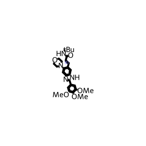 COc1cc(-c2nc3cc(N4CCOCC4)c(/C=C/C(=O)NC(C)(C)C)cc3[nH]2)cc(OC)c1OC